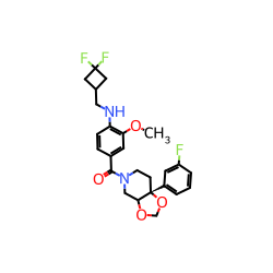 COc1cc(C(=O)N2CC[C@]3(c4cccc(F)c4)OCOC3C2)ccc1NCC1CC(F)(F)C1